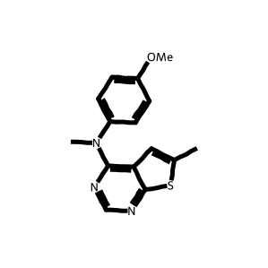 COc1ccc(N(C)c2ncnc3sc(C)cc23)cc1